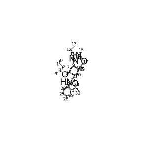 CCCC(C)Oc1cc(-n2nc(CC)n(C)c2=O)c(F)cc1C(=O)Nc1ccccc1CC